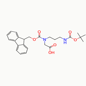 CC(C)(C)OC(=O)NCCCN(CC(=O)O)C(=O)OCC1c2ccccc2-c2ccccc21